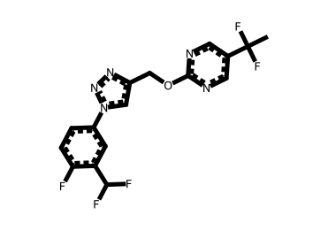 CC(F)(F)c1cnc(OCc2cn(-c3ccc(F)c(C(F)F)c3)nn2)nc1